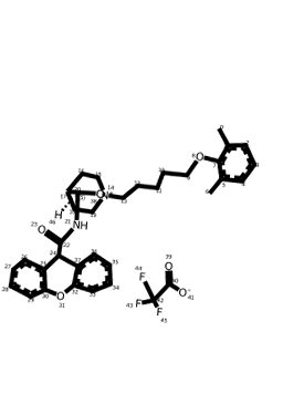 Cc1cccc(C)c1OCCCCC[N+]12CCC(CC1)[C@H](NC(=O)C1c3ccccc3Oc3ccccc31)C2.O=C([O-])C(F)(F)F